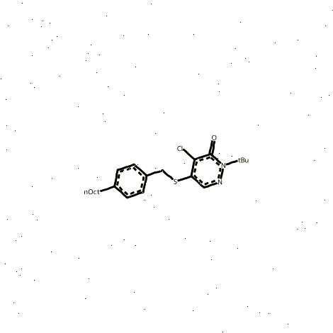 CCCCCCCCc1ccc(CSc2cnn(C(C)(C)C)c(=O)c2Cl)cc1